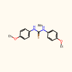 CCOc1ccc(NC(=S)Nc2ccc(OCC)cc2)cc1.[Mn]